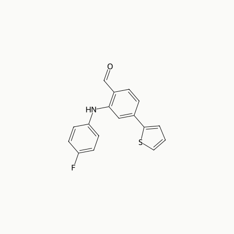 O=Cc1ccc(-c2cccs2)cc1Nc1ccc(F)cc1